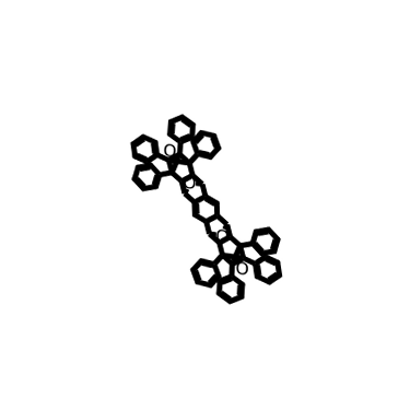 O=C1C2(c3ccccc3)C(c3ccccc3)=C(c3ccccc3)C1(c1ccccc1)C1C3OC(C4=CC5C(C=C43)C3OC5C4C3C3(c5ccccc5)C(=O)C4(c4ccccc4)C(c4ccccc4)=C3c3ccccc3)C12